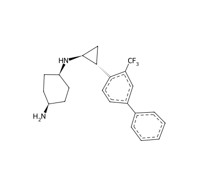 N[C@H]1CC[C@@H](N[C@H]2C[C@@H]2c2ccc(-c3ccccc3)cc2C(F)(F)F)CC1